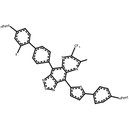 CCCCCc1ccc(-c2ccc(-c3c4nsnc4c(-c4ccc(-c5ccc(CCCCC)cc5F)cc4)c4nc(C(F)(F)F)c(C)nc34)s2)cc1